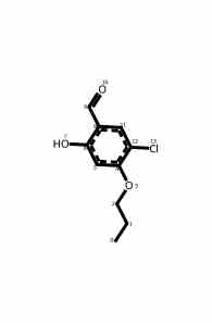 CCCOc1cc(O)c(C=O)cc1Cl